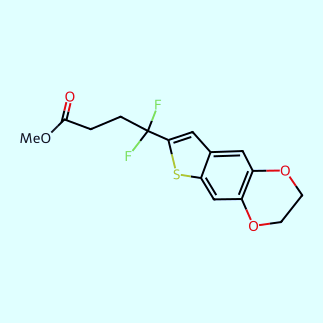 COC(=O)CCC(F)(F)c1cc2cc3c(cc2s1)OCCO3